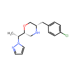 C[C@H]([C@H]1CN[C@@H](Cc2ccc(Cl)cc2)CO1)n1cccn1